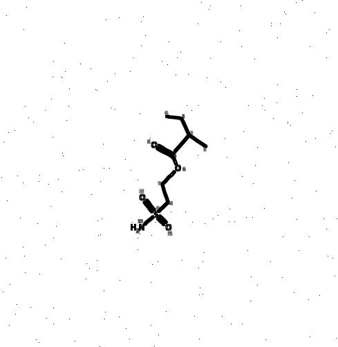 CCC(C)C(=O)OCCS(N)(=O)=O